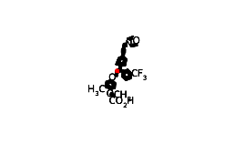 Cc1cc(OCC=C(c2ccc(C#CCN3CCOCC3)cc2)c2cccc(C(F)(F)F)c2)ccc1OC(C)C(=O)O